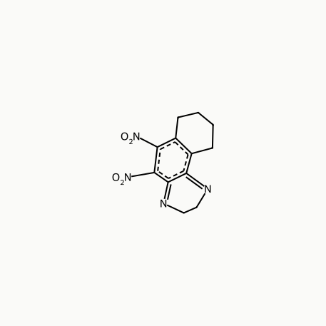 O=[N+]([O-])c1c2c(c3c(c1[N+](=O)[O-])=NCCN=3)CCCC2